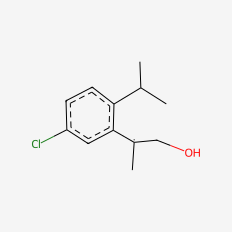 C[C](CO)c1cc(Cl)ccc1C(C)C